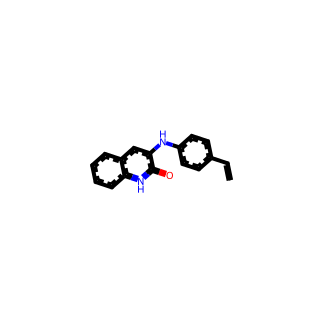 C=Cc1ccc(Nc2cc3ccccc3[nH]c2=O)cc1